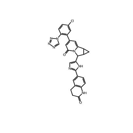 O=C1CCc2cc(-c3ncc(C4C5CC5c5cc(-c6cc(Cl)ccc6-n6cnnn6)cc(=O)n54)[nH]3)ccc2N1